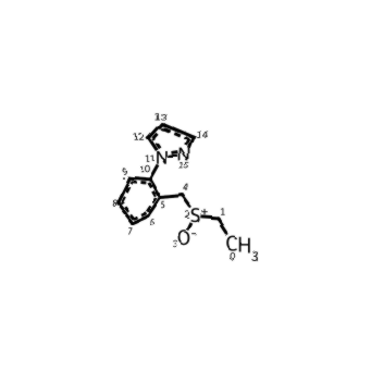 CC[S+]([O-])Cc1ccc[c]c1-n1cccn1